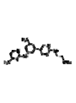 COCCNc1ncc(-c2cc(C)cc(Nc3nccc(C(F)(F)F)n3)c2)cn1